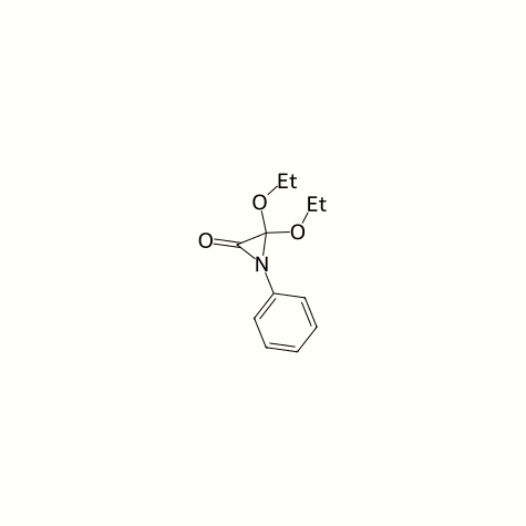 CCOC1(OCC)C(=O)N1c1ccccc1